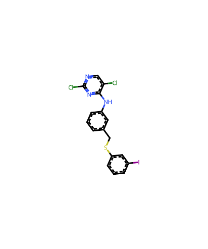 Clc1ncc(Cl)c(Nc2cccc(CSc3cccc(I)c3)c2)n1